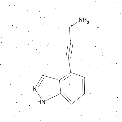 NCC#Cc1cccc2[nH]ncc12